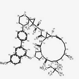 COc1ccc2c(O[C@@H]3C[C@H]4C(=O)N[C@]5(C(=O)NS(=O)(=O)C6(C)CC6)C[C@H]5C=CCC[C@@H](C)C[C@@H](C)[C@H](N(C(=O)O)C(C)(C)C(F)(F)F)C(=O)N4C3)nc(-c3ccc(N4CCOCC4)cc3)cc2c1